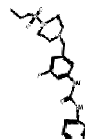 CCCS(=O)(=O)N1CCN(Cc2cc(F)cc(NC(=O)Nc3cccnc3)c2)CC1